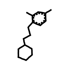 Cc1ccc(CCCC2CCCCC2)c(C)c1